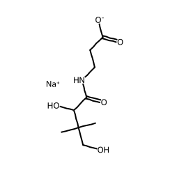 CC(C)(CO)C(O)C(=O)NCCC(=O)[O-].[Na+]